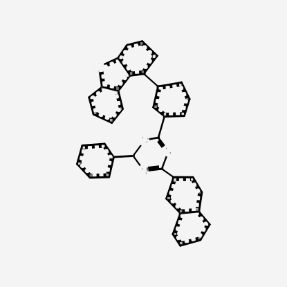 c1ccc(C2N=C(c3ccc4ccccc4c3)N=C(c3cccc(-c4cccc5oc6ccccc6c45)c3)N2)cc1